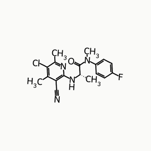 Cc1nc(N[C@@H](C)C(=O)N(C)c2ccc(F)cc2)c(C#N)c(C)c1Cl